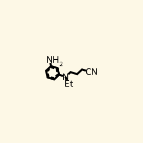 CCN(CCCC#N)c1cccc(N)c1